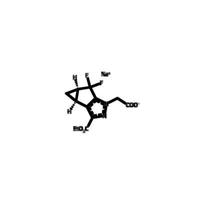 CCOC(=O)c1nn(CC(=O)[O-])c2c1[C@H]1C[C@H]1C2(F)F.[Na+]